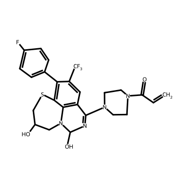 C=CC(=O)N1CCN(C2=NC(O)N3CC(O)CSc4c(-c5ccc(F)cc5)c(C(F)(F)F)cc2c43)CC1